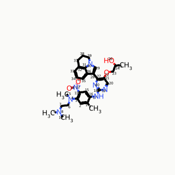 Cc1cc(N(C)CCN(C)C)c([N+](=O)[O-])cc1Nc1ncc(OCC(C)O)c(-c2cn3c4c(cccc24)CCC3)n1